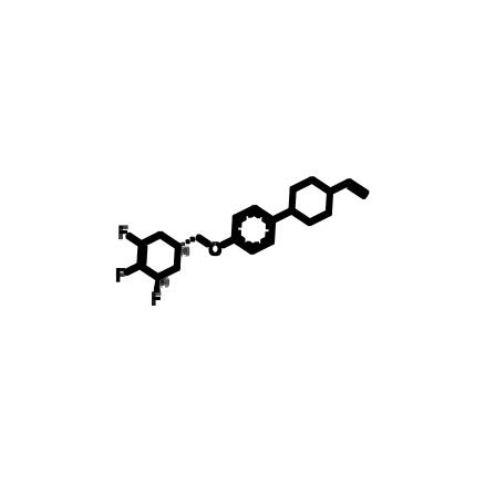 C=CC1CCC(c2ccc(OC[C@H]3CC(F)=C(F)[C@H](F)C3)cc2)CC1